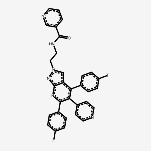 O=C(NCCn1cc2c(-c3ccc(F)cc3)c(-c3ccncc3)c(-c3ccc(F)cc3)nc2n1)c1cccnc1